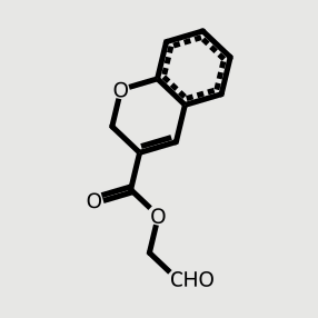 O=CCOC(=O)C1=Cc2ccccc2OC1